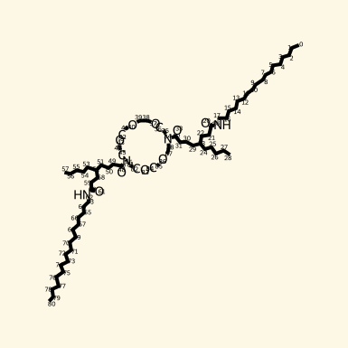 CCCCCCCCCCCCCCCCCCNC(=O)CCC(CCCCC)CCCC(=O)N1CCOCCOCCOCCN(C(=O)CCCC(CCCCC)CCC(=O)NCCCCCCCCCCCCCCCCCC)CCOCCOCC1